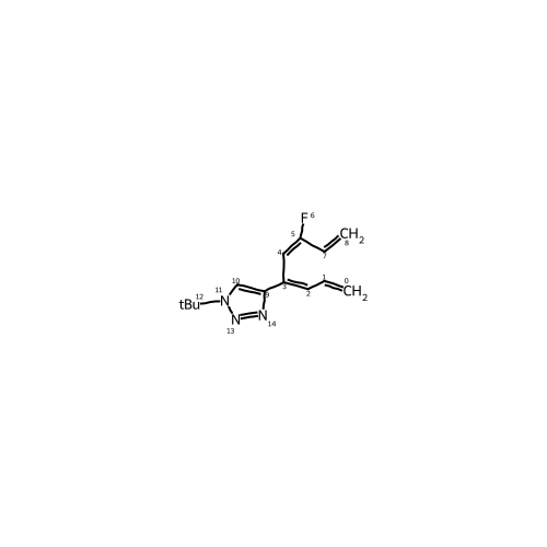 C=C/C=C(\C=C(\F)C=C)c1cn(C(C)(C)C)nn1